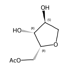 CC(=O)OC[C@H]1OC[C@H](O)[C@H]1O